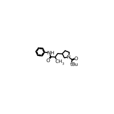 CC(CC1CCN(C(=O)C(C)(C)C)C1)C(=O)Nc1ccccc1